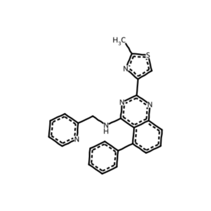 Cc1nc(-c2nc(NCc3ccccn3)c3c(-c4ccccc4)cccc3n2)cs1